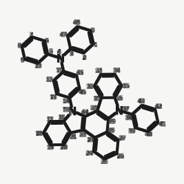 c1ccc(N(c2ccccc2)c2ccc(-n3c4ccccc4c4c5ccccc5c5c(c6ccccc6n5-c5ccccc5)c43)cc2)cc1